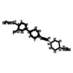 CCCCCc1ccc(-c2ccc(C#C[C@H]3CC[C@H](CCCC)CC3)cc2)cc1F